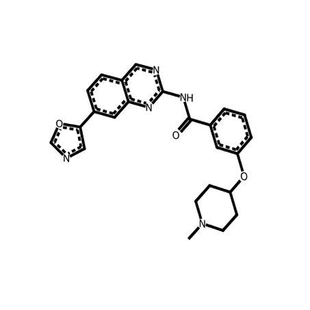 CN1CCC(Oc2cccc(C(=O)Nc3ncc4ccc(-c5cnco5)cc4n3)c2)CC1